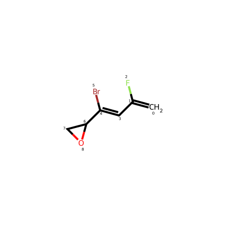 C=C(F)C=C(Br)C1CO1